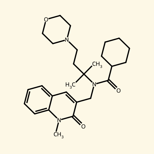 Cn1c(=O)c(CN(C(=O)C2CCCCC2)C(C)(C)CCN2CCOCC2)cc2ccccc21